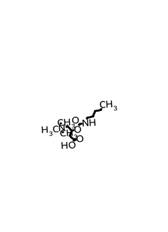 CCCCCNC(=O)OC(CC(=O)O)C[N+](C)(C)C